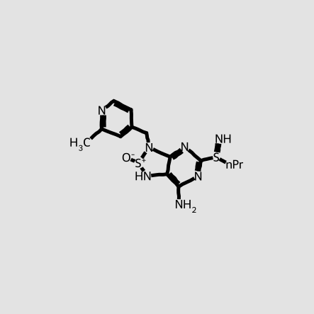 CCCS(=N)c1nc(N)c2c(n1)N(Cc1ccnc(C)c1)[S+]([O-])N2